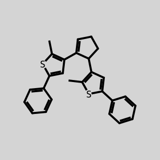 Cc1sc(-c2ccccc2)cc1C1=CCCC1c1cc(-c2ccccc2)sc1C